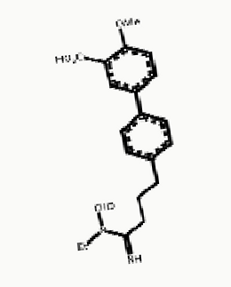 CCN(C=O)C(=N)CCCc1ccc(-c2ccc(OC)c(C(=O)O)c2)cc1